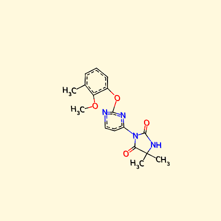 COc1c(C)cccc1Oc1nccc(N2C(=O)NC(C)(C)C2=O)n1